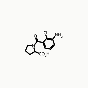 Nc1cccc(C(=O)N2CCCC2C(=O)O)c1Cl